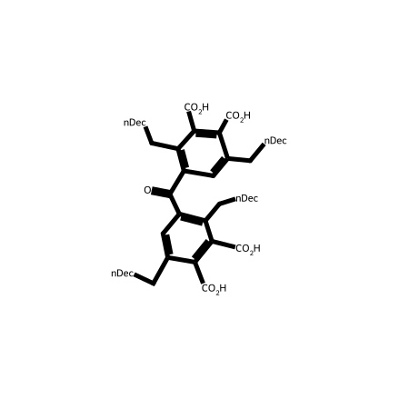 CCCCCCCCCCCc1cc(C(=O)c2cc(CCCCCCCCCCC)c(C(=O)O)c(C(=O)O)c2CCCCCCCCCCC)c(CCCCCCCCCCC)c(C(=O)O)c1C(=O)O